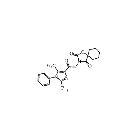 Cc1nc(C(=O)CN2C(=O)OC3(CCCCC3)C2=O)c(C)n1-c1ccccc1